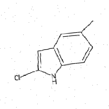 Cc1ccc2[nH]c(Cl)cc2c1